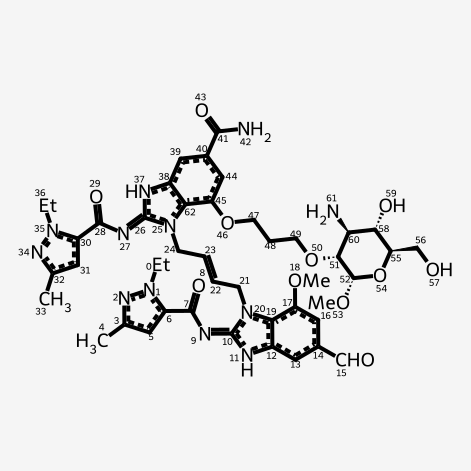 CCn1nc(C)cc1C(=O)/N=c1/[nH]c2cc(C=O)cc(OC)c2n1C/C=C/Cn1/c(=N/C(=O)c2cc(C)nn2CC)[nH]c2cc(C(N)=O)cc(OCCCO[C@H]3[C@@H](OC)O[C@H](CO)[C@@H](O)[C@@H]3N)c21